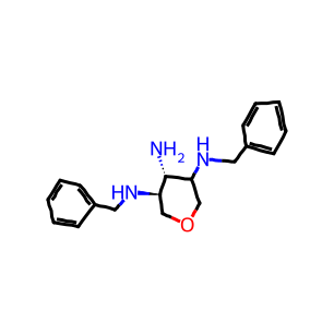 N[C@@H]1C(NCc2ccccc2)COC[C@H]1NCc1ccccc1